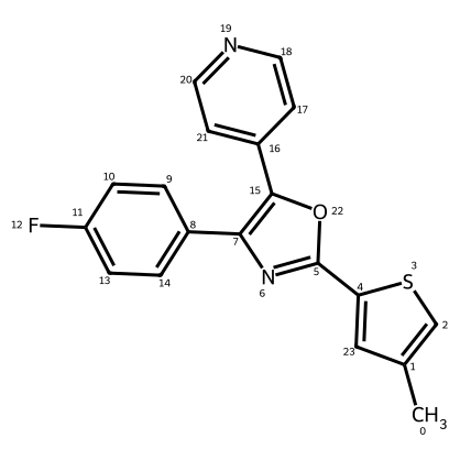 Cc1csc(-c2nc(-c3ccc(F)cc3)c(-c3ccncc3)o2)c1